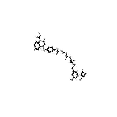 CCC(=O)N1c2ccccc2[C@H](Nc2ccc(NC(=O)CCCC(=O)NC34CC(NCc5cc(O)cc(-c6c(C)noc6C)c5)(C3)C4)cc2)C[C@@H]1C